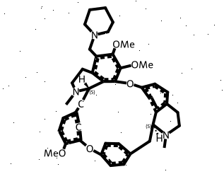 COc1ccc2cc1Oc1ccc(cc1)C[C@H]1c3cc(ccc3CCN1C)Oc1c(OC)c(OC)c(CN3CCCCC3)c3c1[C@H](C2)N(C)CC3